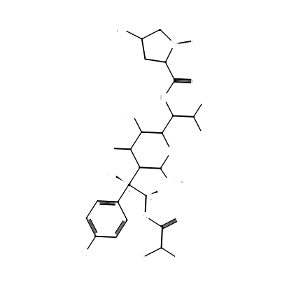 [CH2][C@@H](NC(=O)C(Cl)Cl)[C@](O)(c1ccc([N+](=O)[O-])cc1)C1C(SC)OC(C(NC(=O)C2CC(CCC)CN2C)C(C)Cl)C(O)C1O